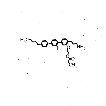 C=CC(=O)OCCOc1cc(-c2ccc(-c3ccc(CCCCC)cc3)cc2F)ccc1CCCN